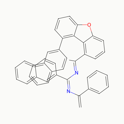 C=C(/N=C(\N=C(/C)c1cccc2oc3cccc(-c4ccc5ccccc5c4)c3c12)c1ccc2ccccc2c1)c1ccccc1